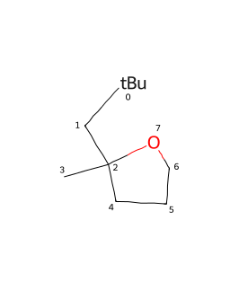 CC(C)(C)CC1(C)CCCO1